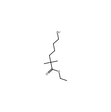 CCOC(=O)C(C)(C)CCC[CH2][Zn+]